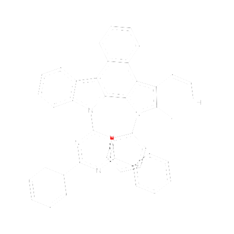 C/C=C\c1c(C)n(-c2ccccc2)c2c1c1ccccc1c1c3ccccc3n(-c3nc(-c4ccccc4)nc(C4C=CC=CC4)n3)c12